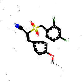 COc1ccc(C=C(C#N)S(=O)(=O)Cc2ccc(Cl)cc2Cl)cc1